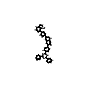 c1ccc(-c2nc(-c3ccccc3)nc(-c3ccc(-c4ccc5ccc(-c6ccc(-c7cccc8cc[nH]c78)cc6)cc5c4)cc3)n2)cc1